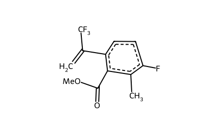 C=C(c1ccc(F)c(C)c1C(=O)OC)C(F)(F)F